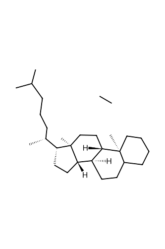 CC.CC(C)CCC[C@@H](C)[C@H]1CC[C@H]2[C@@H]3CCC4CCCC[C@]4(C)[C@H]3CC[C@]12C